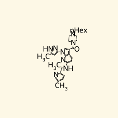 CCCCCCN1CCN(C(=O)c2cn(-c3cc(C)[nH]n3)c3nc(N[C@@H](C)c4ccc(C)cn4)ccc23)CC1